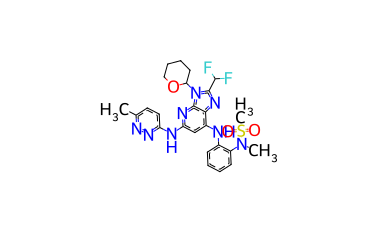 Cc1ccc(Nc2cc(Nc3ccccc3N(C)S(C)(=O)=O)c3nc(C(F)F)n(C4CCCCO4)c3n2)nn1